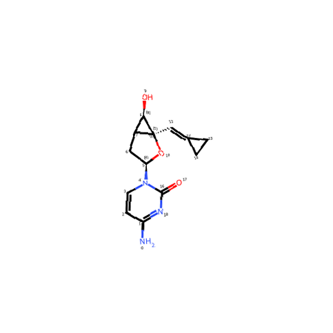 Nc1ccn([C@H]2CC3[C@@H](O)[C@@]3(C=C3CC3)O2)c(=O)n1